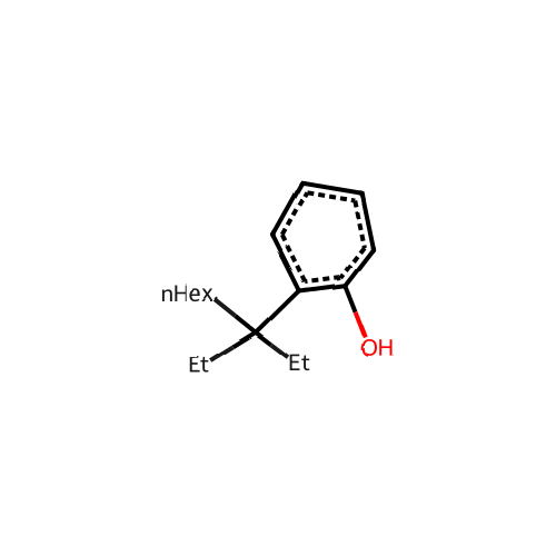 CCCCCCC(CC)(CC)c1ccccc1O